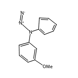 COc1cccc(N([N+]=[N-])c2ccccc2)c1